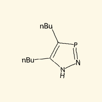 CCCCc1[nH]npc1CCCC